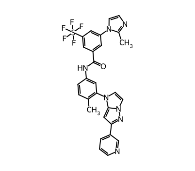 Cc1ccc(NC(=O)c2cc(-n3ccnc3C)cc(S(F)(F)(F)(F)F)c2)cc1-n1ccn2nc(-c3cccnc3)cc12